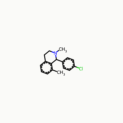 Cc1cccc2c1C(c1ccc(Cl)cc1)N(C)CC2